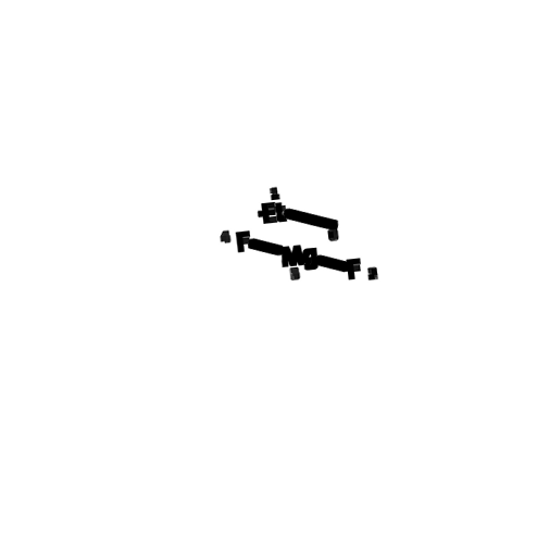 C[CH]C.[F][Mg][F]